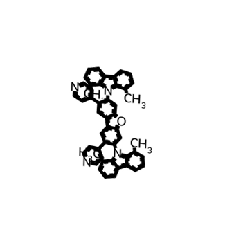 Cc1cccc2c3cccc(C)c3n(-c3cc4oc5cc(-n6c7c(C)cccc7c7cccc(C)c76)c(-c6ccncc6)cc5c4cc3-c3ccncc3)c12